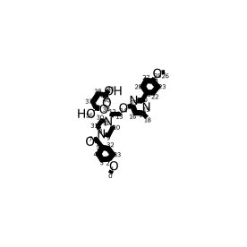 COc1ccc(C(=O)N2CCN(CCOc3cc(C)nc(-c4ccc(OC)cc4)n3)CC2)cc1.O=C(O)/C=C\C(=O)O